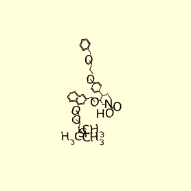 C[Si](C)(C)CCOCOc1cc(COC2CN(C(=O)O)CCC2c2ccc(OCCCOCc3ccccc3)cc2)cc2ccccc12